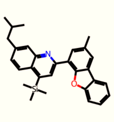 Cc1cc(-c2cc([Si](C)(C)C)c3ccc(CC(C)C)cc3n2)c2oc3ccccc3c2c1